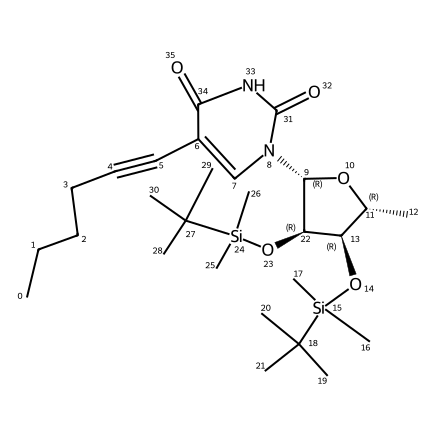 CCCCC#Cc1cn([C@@H]2O[C@H](C)[C@@H](O[Si](C)(C)C(C)(C)C)[C@H]2O[Si](C)(C)C(C)(C)C)c(=O)[nH]c1=O